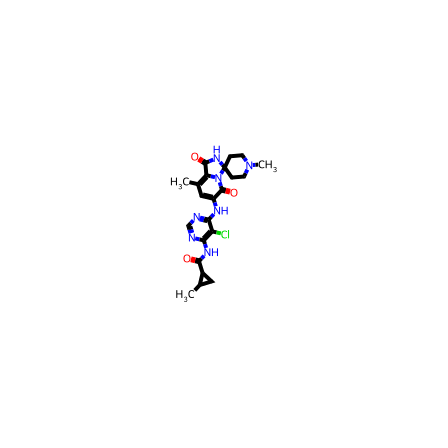 Cc1cc(Nc2ncnc(NC(=O)C3CC3C)c2Cl)c(=O)n2c1C(=O)NC21CCN(C)CC1